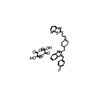 Fc1ccc(Cn2c(CC3CCN(CCSc4nc5cccnc5s4)CC3)nc3ccccc32)cc1.O=C(O)C(=O)O.O=C(O)C(=O)O